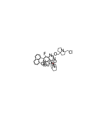 CC(C)(C)OC(=O)N1C2CCC1CN(c1nc(OCC34CCCN3C(CCl)CC4)nc3c(F)c(-c4cccc5cccc(Cl)c45)ncc13)C2